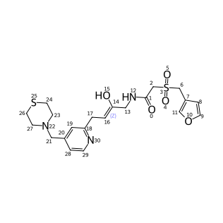 O=C(CS(=O)(=O)Cc1ccoc1)NC/C(O)=C/Cc1cc(CN2CCSCC2)ccn1